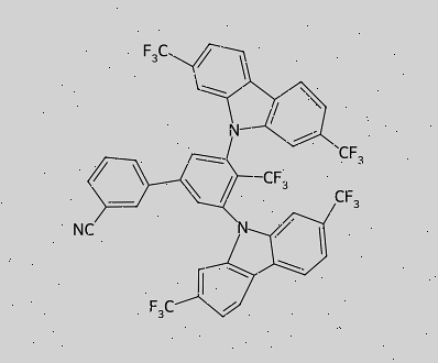 N#Cc1cccc(-c2cc(-n3c4cc(C(F)(F)F)ccc4c4ccc(C(F)(F)F)cc43)c(C(F)(F)F)c(-n3c4cc(C(F)(F)F)ccc4c4ccc(C(F)(F)F)cc43)c2)c1